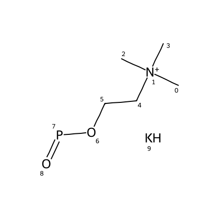 C[N+](C)(C)CCOP=O.[KH]